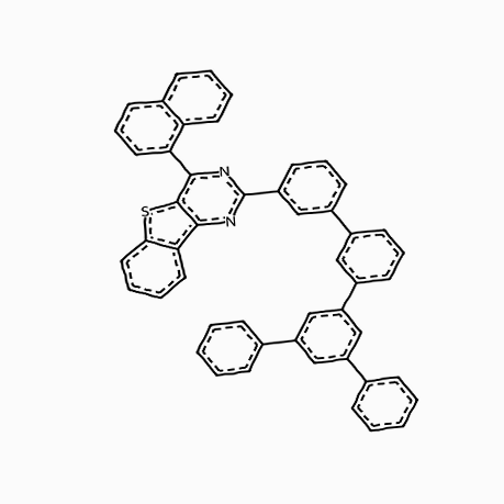 c1ccc(-c2cc(-c3ccccc3)cc(-c3cccc(-c4cccc(-c5nc(-c6cccc7ccccc67)c6sc7ccccc7c6n5)c4)c3)c2)cc1